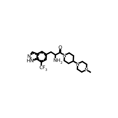 CN1CCN(C2CCN(C(=O)C(N)Cc3cc(C(F)(F)F)c4[nH]ncc4c3)CC2)CC1